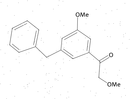 COCC(=O)c1cc(Cc2ccccc2)cc(OC)c1